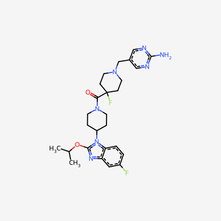 CC(C)Oc1nc2cc(F)ccc2n1C1CCN(C(=O)C2(F)CCN(Cc3cnc(N)nc3)CC2)CC1